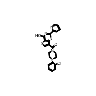 O=C(c1csc2c(O)nc(-c3ccccn3)nc12)N1CCN(c2ccccc2Cl)CC1